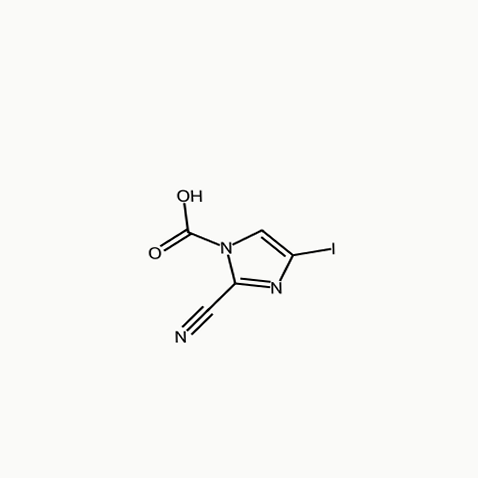 N#Cc1nc(I)cn1C(=O)O